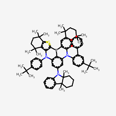 CC(C)(C)c1ccc(N2c3cc(N4c5ccccc5C5(C)CCCCC45C)cc4c3B(c3cc5c(cc3N4c3ccc(C(C)(C)C)cc3-c3ccccc3)C(C)(C)CCC5(C)C)c3sc4c(c32)C(C)(C)CCC4(C)C)cc1